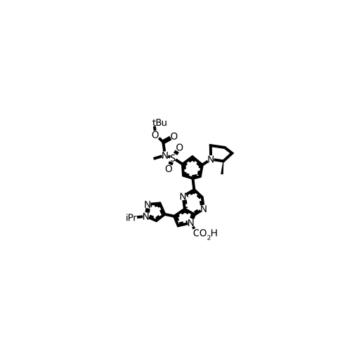 CC(C)n1cc(-c2cn(C(=O)O)c3ncc(-c4cc(N5CCC[C@H]5C)cc(S(=O)(=O)N(C)C(=O)OC(C)(C)C)c4)nc23)cn1